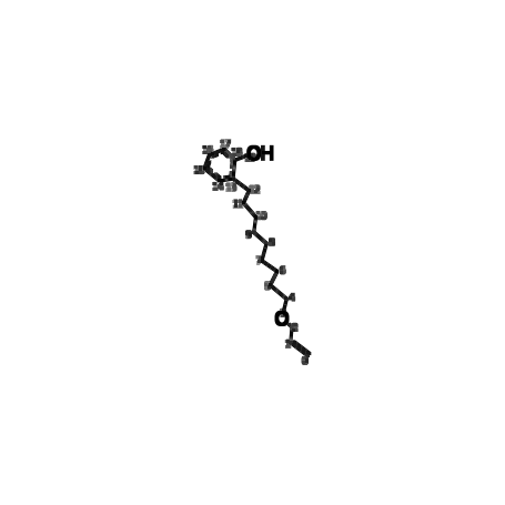 C=CCOCCCCCCCCCc1ccccc1O